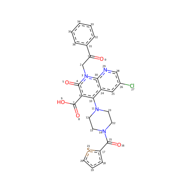 O=C(Cn1c(=O)c(C(=O)O)c(N2CCN(C(=O)c3cccs3)CC2)c2cc(Cl)cnc21)c1ccccc1